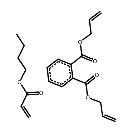 C=CC(=O)OCCCC.C=CCOC(=O)c1ccccc1C(=O)OCC=C